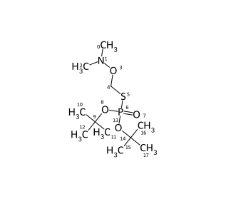 CN(C)OCSP(=O)(OC(C)(C)C)OC(C)(C)C